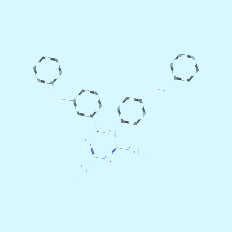 NC1=NC(c2cccc(Oc3ccccc3)c2)N(c2ccc(OCc3ccccc3)cc2)C(N)=N1